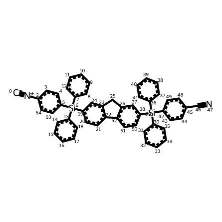 [C-]#[N+]c1ccc([Si](c2ccccc2)(c2ccccc2)c2ccc3c(c2)Cc2cc([Si](c4ccccc4)(c4ccccc4)c4ccc(C#N)cc4)ccc2-3)cc1